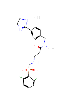 CN(Cc1ccc(C2=NCCN2C(=O)O)cc1)C(=O)CCNCS(=O)(=O)c1c(Cl)cccc1Cl